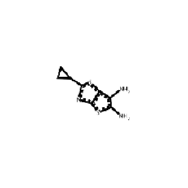 Nc1sc2nc(C3CC3)sc2c1N